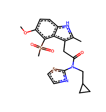 COc1ccc2[nH]c(C)c(CC(=O)N(CC3CC3)c3nccs3)c2c1S(C)(=O)=O